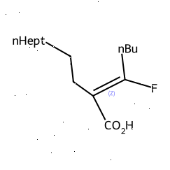 CCCCCCCCC/C(C(=O)O)=C(/F)CCCC